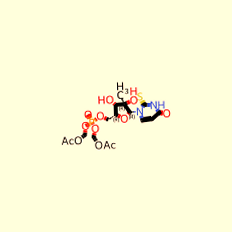 CC(=O)OCOP(=O)(OCOC(C)=O)OC[C@H]1O[C@@H](n2ccc(=O)[nH]c2=S)[C@](C)(O)C1O